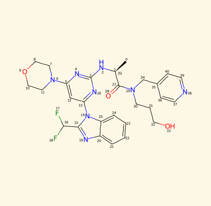 C[C@H](Nc1nc(N2CCOCC2)cc(-n2c(C(F)F)nc3ccccc32)n1)C(=O)N(CCCO)Cc1ccncc1